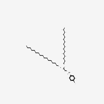 CCCCCCCCCCCCCCCCOC[C@@H](COS(=O)(=O)c1ccc(C)cc1)OCCCCCCCCCCCCCCCC